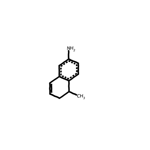 CC1CC=Cc2cc(N)ccc21